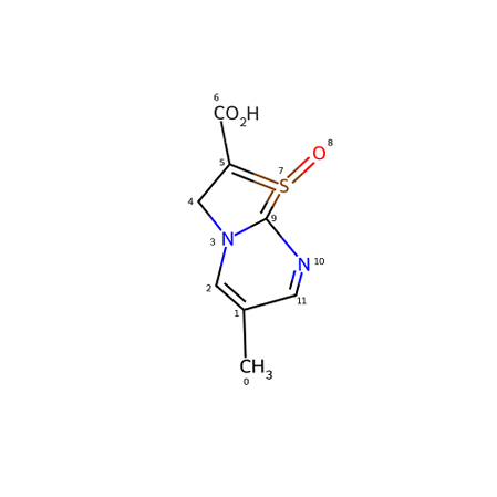 CC1=CN2CC(C(=O)O)=S(=O)=C2N=C1